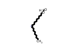 CCCCCCCC/C=C\CCCCCCCCO[PH2]=O